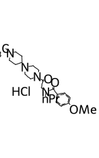 CCCN(CC(=O)N1CCN(C2CCN(C)CC2)CC1)C(=O)c1ccc(OC)cc1.Cl